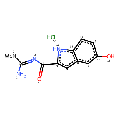 CNC(N)=NC(=O)c1cc2cc(O)ccc2[nH]1.Cl